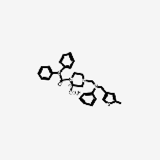 Cc1cc(CN(CN2CCN(C(=O)N(c3ccccc3)c3ccccc3)[C@H](C(=O)O)C2)c2ccccc2)cs1